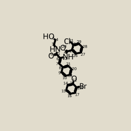 O=C(NCCO)C(=Cc1ccc(Oc2ccccc2Br)cc1)NC(=O)c1ccccc1Cl